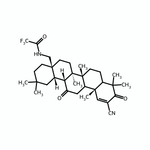 CC1(C)CC[C@]2(CNC(=O)C(F)(F)F)CC[C@]3(C)[C@H](C(=O)CC4[C@@]5(C)C=C(C#N)C(=O)C(C)(C)C5CC[C@]43C)[C@@H]2C1